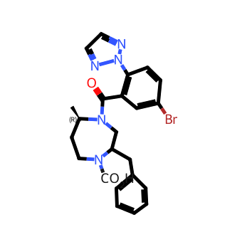 C[C@@H]1CCN(C(=O)O)C(Cc2ccccc2)CN1C(=O)c1cc(Br)ccc1-n1nccn1